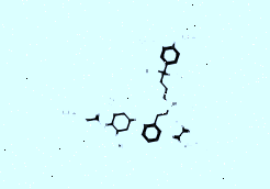 COCC(=O)NC1C(O[N+](=O)[O-])CC(Oc2ccccc2CCN(C)CCCC(C#N)(c2ccc(OC)c(OC)c2)C(C)C)CC1O[N+](=O)[O-].O.O=C(O)C(=O)O